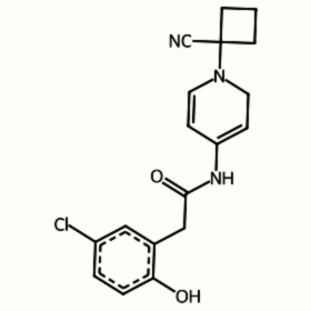 N#CC1(N2C=CC(NC(=O)Cc3cc(Cl)ccc3O)=CC2)CCC1